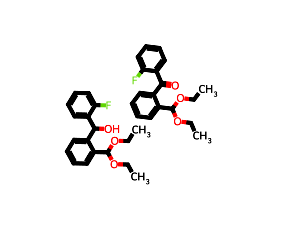 CCOC(OCC)c1ccccc1C(=O)c1ccccc1F.CCOC(OCC)c1ccccc1C(O)c1ccccc1F